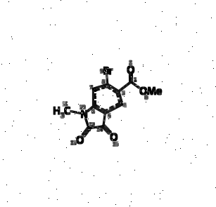 COC(=O)c1cc2c(cc1Br)N(C)C(=O)C2=O